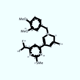 COc1ccc(CN2C=C(c3cc(C(F)F)nc(SC)n3)C=C(F)C2)cc1OC